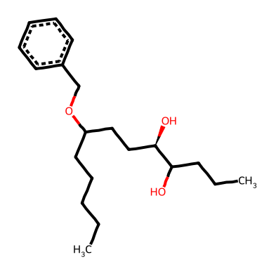 CCCCCC(CC[C@@H](O)C(O)CCC)OCc1ccccc1